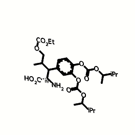 CCOC(=O)OCC(C)C(c1ccc(OC(=O)OC(C)C(C)C)c(OC(=O)OC(C)C(C)C)c1)[C@H](N)C(=O)O